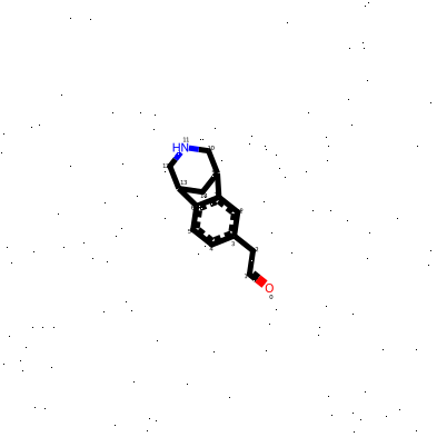 O=CCc1ccc2c(c1)C1CNCC2C1